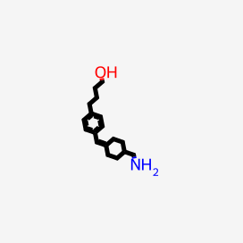 NCC1CCC(=Cc2ccc(CCCCO)cc2)CC1